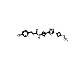 O=C(CCc1ccc(Cl)cn1)NC12CC(c3nnc([C@H]4C[C@@H](OC(F)(F)F)C4)o3)(C1)C2